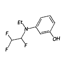 CCN(c1cccc(O)c1)C(F)C(F)F